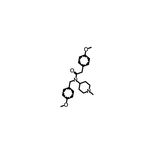 COc1ccc(CC(=O)N(Cc2ccc(OC)cc2)C2CCN(C)CC2)cc1